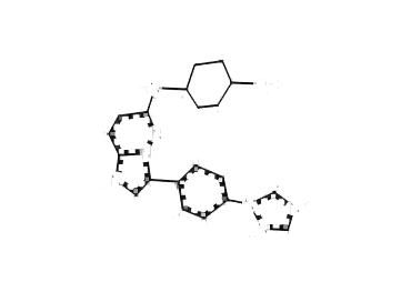 OC1CCC(Nc2ccc3ncc(-c4ccc(-n5cncn5)cc4)n3n2)CC1